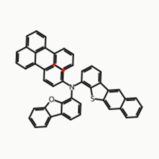 c1ccc(-c2cccc3cccc(-c4ccc(N(c5cccc6c5oc5ccccc56)c5cccc6c5sc5cc7ccccc7cc56)cc4)c23)cc1